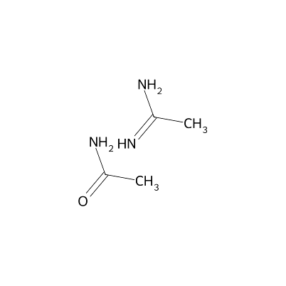 CC(=N)N.CC(N)=O